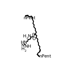 CCCCC/C=C\C/C=C\CCCCCCCCC(CCCCCCCC/C=C\C/C=C\CCCCC)OC(=O)[C@@H](N)CCCNC(=N)N